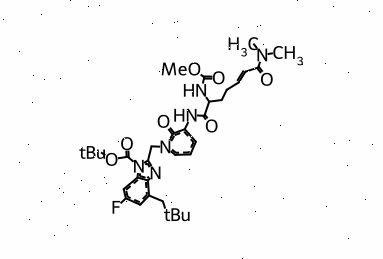 COC(=O)NC(CCC=CC(=O)N(C)C)C(=O)Nc1cccn(Cc2nc3c(CC(C)(C)C)cc(F)cc3n2C(=O)OC(C)(C)C)c1=O